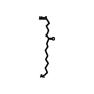 CSCCCSC(=O)CCCCCCCCC(C)=O